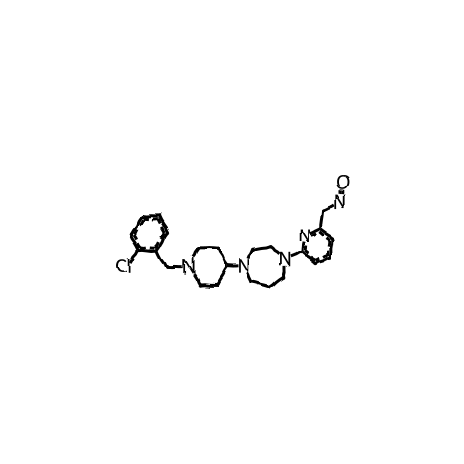 O=NCc1cccc(N2CCCN(C3CCN(Cc4ccccc4Cl)CC3)CC2)n1